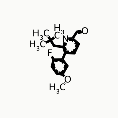 COc1ccc(F)c(-c2ccc(C=O)nc2CC(C)(C)C)c1